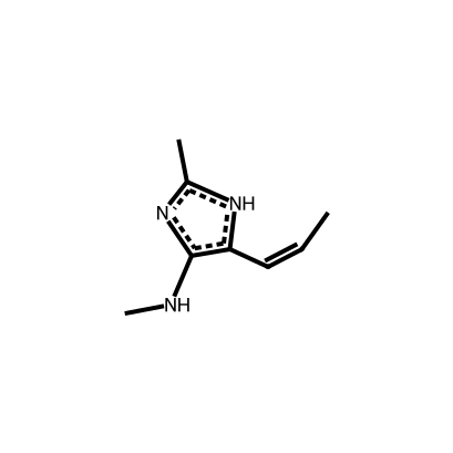 C/C=C\c1[nH]c(C)nc1NC